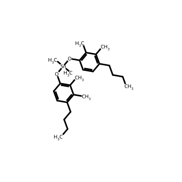 CCCCc1ccc([O][Sn]([CH3])([CH3])[O]c2ccc(CCCC)c(C)c2C)c(C)c1C